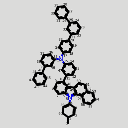 CC1C=CC(n2c3cccc(-c4cccc(N(c5ccc(-c6cccc(-c7ccccc7)c6)cc5)c5cccc(-c6ccccc6)c5)c4)c3c3ccc4ccccc4c32)=CC1